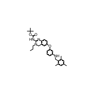 CCCN1Cc2cc(Oc3cccc(NCc4c(C)cc(C)cc4C)c3)ccc2N=C1NC(=O)OC(C)(C)C